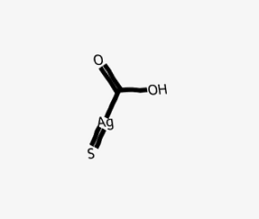 O=[C](O)[Ag]=[S]